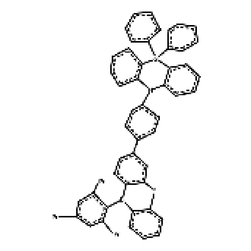 CC(C)c1cc(C(C)C)c(B2c3ccccc3Sc3cc(-c4ccc(N5c6ccccc6[Si](c6ccccc6)(c6ccccc6)c6ccccc65)cc4)ccc32)c(C(C)C)c1